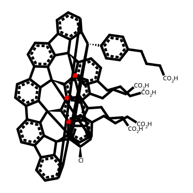 O=C(O)CCCc1ccc([C@]23C4=C5[C@]6(c7ccc(CCCC(=O)O)cc7)c7c8ccc(c72)-c2ccc7c(c23)[C@]2(c3ccc(CCCC(=O)O)cc3)C4=C3[C@@]4(c9ccc(CCCC(=O)O)cc9)c9c(ccc-7c92)-c2ccc7c(c24)[C@@](c2ccc(CCCC(=O)O)cc2)(c2c-7ccc-8c26)[C@@]53Cl)cc1